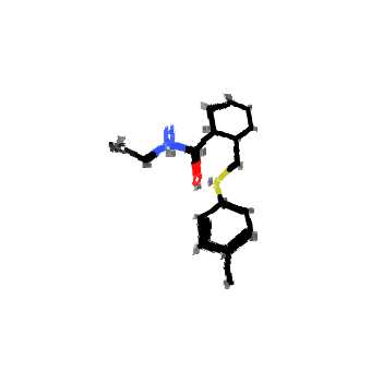 Cc1ccc(SCC2CCCCC2C(=O)NCC#N)cc1